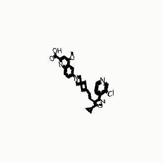 COc1cc(C(=O)O)nc2ccc(N3CC4(CC(/C=C/c5c(-c6ccncc6Cl)noc5C5CC5)C4)C3)cc12